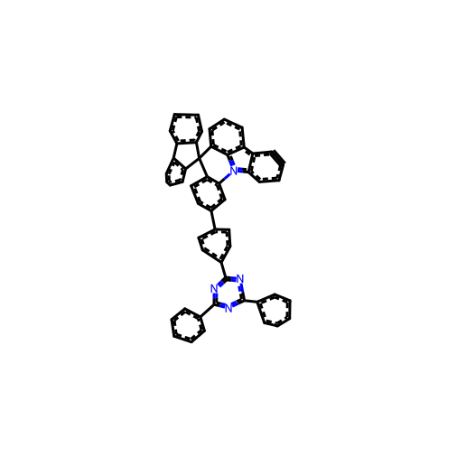 c1ccc2c(c#1)c1cccc3c1n2-c1cc(-c2ccc(-c4nc(-c5ccccc5)nc(-c5ccccc5)n4)cc2)ccc1C31c2ccccc2-c2ccccc21